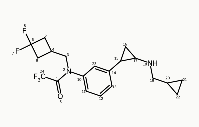 O=C(N(CC1CC(F)(F)C1)c1cccc(C2CC2NCC2CC2)c1)C(F)(F)F